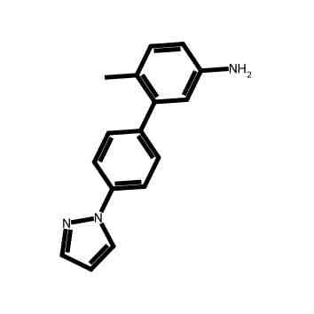 Cc1ccc(N)cc1-c1ccc(-n2cccn2)cc1